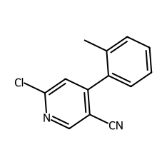 Cc1ccccc1-c1cc(Cl)ncc1C#N